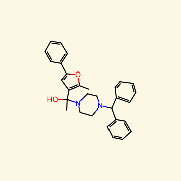 Cc1oc(-c2ccccc2)cc1C(C)(O)N1CCN(C(c2ccccc2)c2ccccc2)CC1